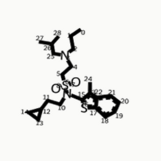 CCCN(CCS(=O)(=O)N(CCC1CC1)c1sc2ccccc2c1C)CC(C)C